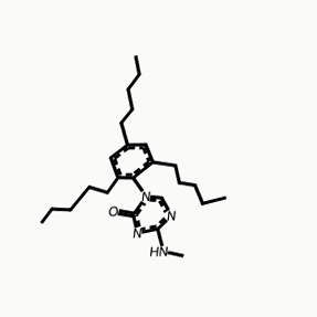 CCCCCc1cc(CCCCC)c(-n2cnc(NC)nc2=O)c(CCCCC)c1